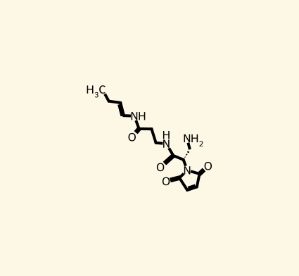 CC/C=C/NC(=O)CCNC(=O)[C@H](CN)N1C(=O)C=CC1=O